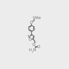 CSCOc1ccc(-c2cc(COC(N)=O)on2)cc1